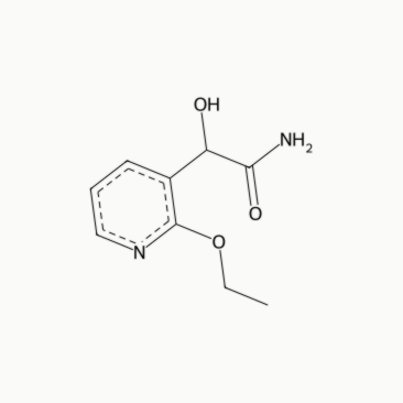 CCOc1ncccc1C(O)C(N)=O